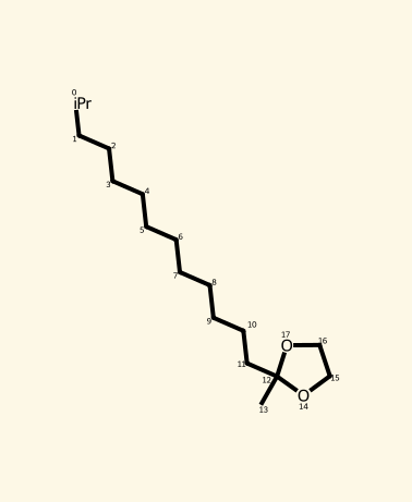 CC(C)CCCCCCCCCCCC1(C)OCCO1